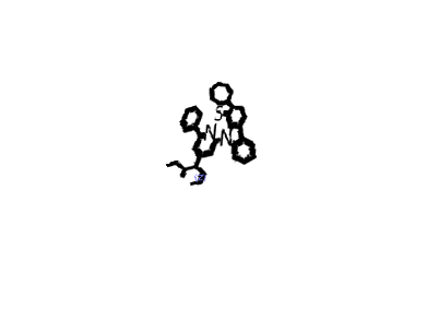 C/C=C\C(c1cc(-c2ccccc2)nc(-n2c3ccccc3c3ccc4c5c(sc4c32)C=CCC=C5)c1)C(C)CC